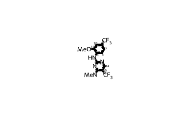 CNc1nc(Nc2ccc(C(F)(F)F)cc2OC)ncc1C(F)(F)F